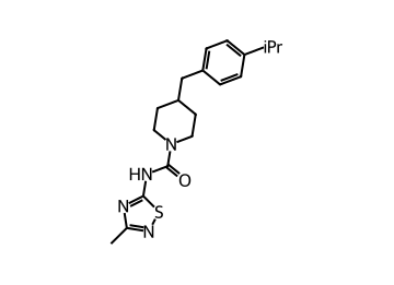 Cc1nsc(NC(=O)N2CCC(Cc3ccc(C(C)C)cc3)CC2)n1